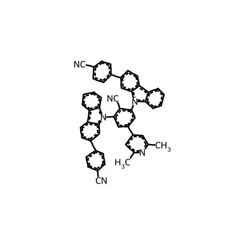 Cc1cc(-c2cc(-n3c4ccccc4c4ccc(-c5ccc(C#N)cc5)cc43)c(C#N)c(-n3c4ccccc4c4ccc(-c5ccc(C#N)cc5)cc43)c2)cc(C)n1